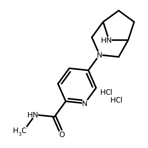 CNC(=O)c1ccc(N2CC3CCC(C2)N3)cn1.Cl.Cl